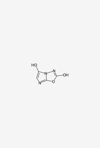 Oc1nn2c(O)cnc2o1